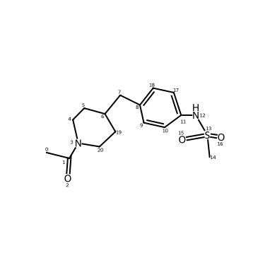 CC(=O)N1CCC(Cc2ccc(NS(C)(=O)=O)cc2)CC1